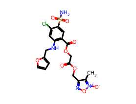 Cc1c(COC(=O)COC(=O)c2cc(S(N)(=O)=O)c(Cl)cc2NCc2ccco2)no[n+]1[O-]